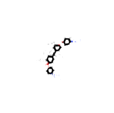 CCCCc1cc(C(c2ccc(Oc3ccc(N)cc3)c(CCCC)c2)(C(F)(F)F)C(F)(F)F)ccc1Oc1ccc(N)cc1